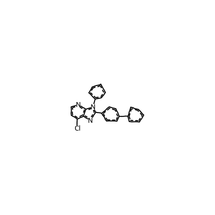 Clc1ccnc2c1nc(-c1ccc(-c3ccccc3)cc1)n2-c1ccccc1